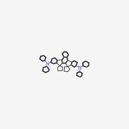 c1ccc(N(c2ccccc2)c2ccc3c(c2)C2(CCCC2)c2c4c(c5ccccc5c2-3)-c2ccc(N(c3ccccc3)c3ccccc3)cc2C42CCCC2)cc1